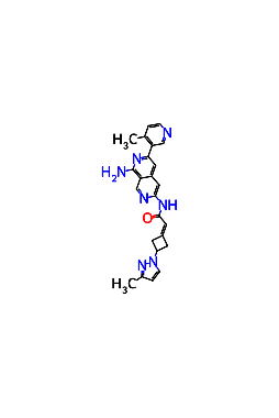 Cc1ccn(C2CC(=CC(=O)Nc3cc4cc(-c5cnccc5C)nc(N)c4cn3)C2)n1